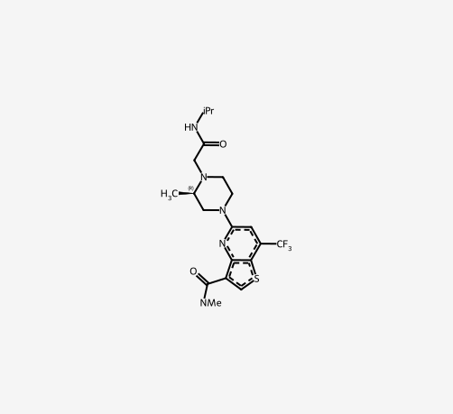 CNC(=O)c1csc2c(C(F)(F)F)cc(N3CCN(CC(=O)NC(C)C)[C@H](C)C3)nc12